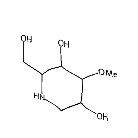 COC1C(O)CNC(CO)C1O